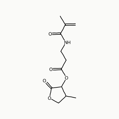 C=C(C)C(=O)NCCC(=O)OC1C(=O)OCC1C